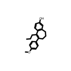 CCCC1=C(c2ccc(OC)cc2)CCCc2cc(O)ccc21